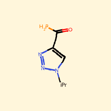 CC(C)n1cc(C(=O)P)nn1